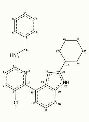 Clc1ccc(NCc2ccccc2)nc1-c1ccnc2[nH]c(C3CCCCC3)cc12